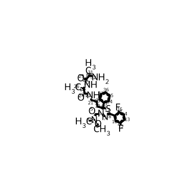 CON(C)C(=O)N1N=C(c2cc(F)ccc2F)SC1(CCCNC(=O)[C@H](C)NC(=O)[C@H](C)N)c1ccccc1